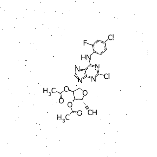 C#C[C@H]1O[C@@H](n2cnc3c(Nc4ccc(Cl)cc4F)nc(Cl)nc32)[C@H](OC(C)=O)[C@@H]1OC(C)=O